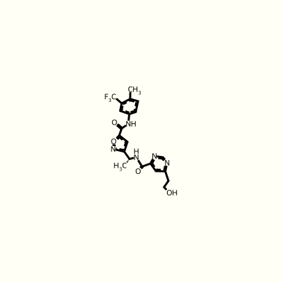 Cc1ccc(NC(=O)c2cc([C@@H](C)NC(=O)c3cc(CCO)ncn3)no2)cc1C(F)(F)F